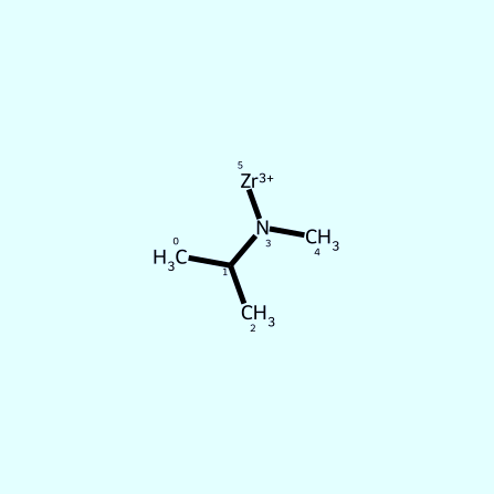 CC(C)[N](C)[Zr+3]